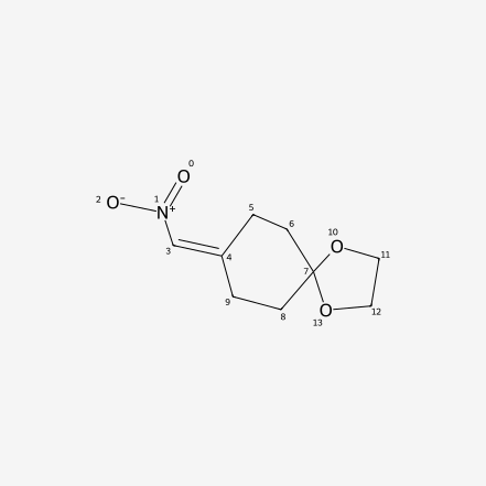 O=[N+]([O-])C=C1CCC2(CC1)OCCO2